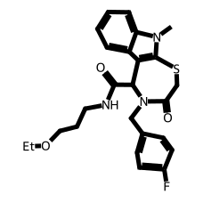 CCOCCCNC(=O)C1c2c(n(C)c3ccccc23)SCC(=O)N1Cc1ccc(F)cc1